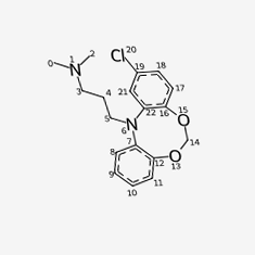 CN(C)CCCN1c2ccccc2OCOc2ccc(Cl)cc21